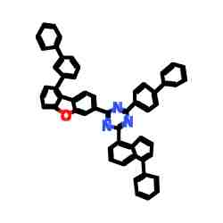 c1ccc(-c2ccc(-c3nc(-c4ccc5c(c4)oc4cccc(-c6cccc(-c7ccccc7)c6)c45)nc(-c4cccc5c(-c6ccccc6)cccc45)n3)cc2)cc1